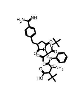 CC(=O)[C@](C(=O)OC(C)(C)C)(N1C(=O)CC(Cc2ccc(C(=N)N)cc2)C1=O)N(C(=O)[C@@H](N)C(C(=O)O)C(C)(C)C)c1ccccc1